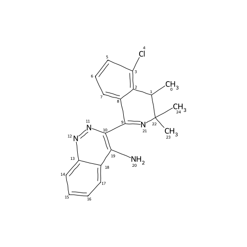 CC1c2c(Cl)cccc2C(c2nnc3ccccc3c2N)=NC1(C)C